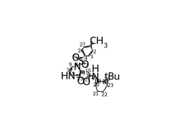 Cc1ccc(S(=O)(=O)N2C=CNC(=O)[C@H]2CC(=O)N[C@@H]2CCCC[C@H]2C(C)(C)C)cc1